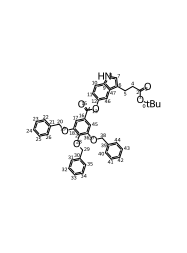 CC(C)(C)OC(=O)CCc1c[nH]c2ccc(OC(=O)c3cc(OCc4ccccc4)c(OCc4ccccc4)c(OCc4ccccc4)c3)cc12